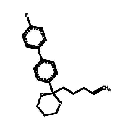 C=CCCCC1(c2ccc(-c3ccc(F)cc3)cc2)SCCCS1